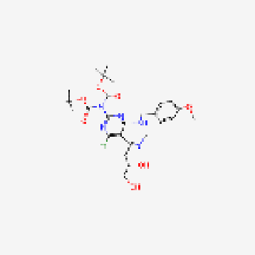 C/N=C(/CC(O)CO)c1c(Cl)nc(N(C(=O)OC(C)(C)C)C(=O)OC(C)(C)C)nc1NCc1ccc(OC)cc1